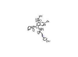 CC(C)CNS(=O)(=O)c1cc2c(c3cnc(C4CC4)cc13)C(NC(=O)/C=C/c1ccc(O)cc1)CC2NC(=O)c1cccnc1